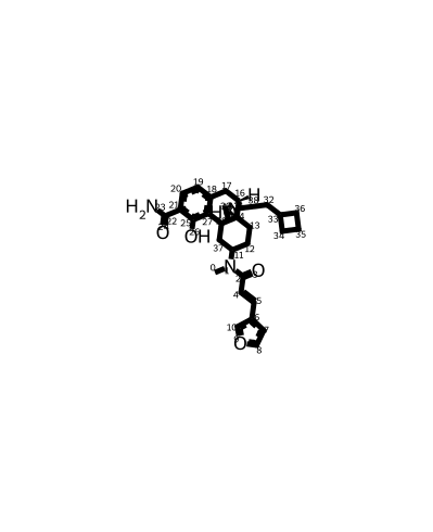 CN(C(=O)/C=C/c1ccoc1)C1CC[C@@]2(O)[C@H]3Cc4ccc(C(N)=O)c(O)c4[C@@]2(CCN3CC2CCC2)C1